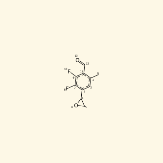 Cc1cc(C2CO2)c(F)c(F)c1C=O